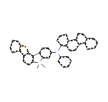 C[Si]1(C)c2cc(N(c3ccccc3)c3cccc4c3ccc3c5ccccc5ccc43)ccc2-c2c1ccc1c2sc2ccccc21